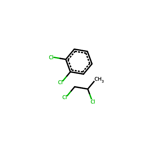 CC(Cl)CCl.Clc1ccccc1Cl